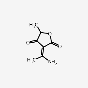 CC(N)=C1C(=O)OC(C)C1=O